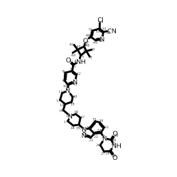 CC1(C)C(NC(=O)c2ccc(N3CCC(CN4CCC(n5ncc6c(N7CCC(=O)NC7=O)cccc65)CC4)CC3)nc2)C(C)(C)C1Oc1cnc(C#N)c(Cl)c1